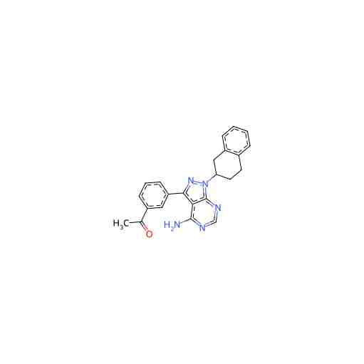 CC(=O)c1cccc(-c2nn(C3CCc4ccccc4C3)c3ncnc(N)c23)c1